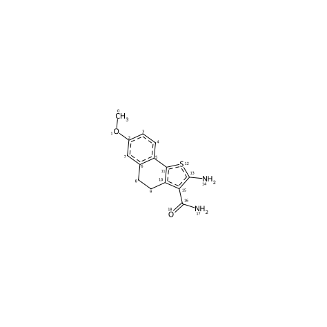 COc1ccc2c(c1)CCc1c-2sc(N)c1C(N)=O